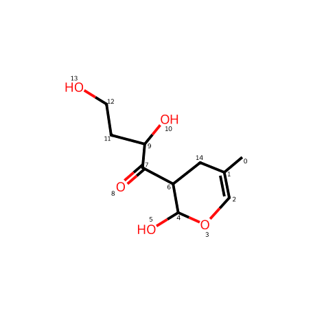 CC1=COC(O)C(C(=O)C(O)CCO)C1